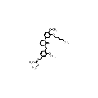 CCCCCOc1cc(N2CCCN(Cc3ccc(C/N=C(/C)OC)cc3OC)C2=O)ccc1OC